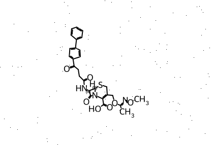 CON=C(C)OCC1=C(C(=O)O)N2C(=O)[C@@H](NC(=O)CCC(=O)c3ccc(-c4ccccc4)cc3)[C@H]2SC1